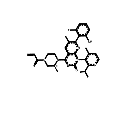 C=CC(=O)N1CCN(c2nc(=O)n(-c3c(C)ccnc3C(C)C)c3nc(-c4c(O)cccc4F)c(C)cc23)[C@@H](C)C1